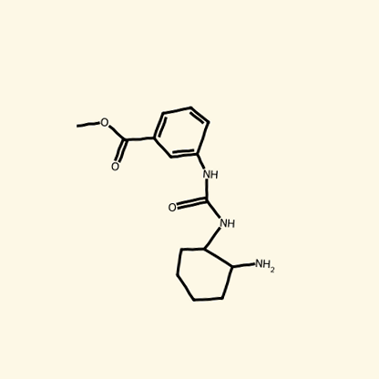 COC(=O)c1cccc(NC(=O)NC2CCCCC2N)c1